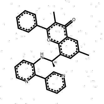 Cc1cc([C@@H](C)Nc2cccnc2-c2cccnc2)c2oc(-c3ccccc3)c(C)c(=O)c2c1